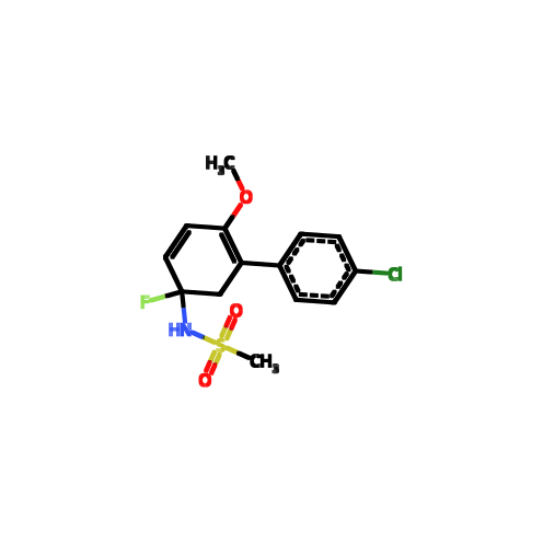 COC1=C(c2ccc(Cl)cc2)CC(F)(NS(C)(=O)=O)C=C1